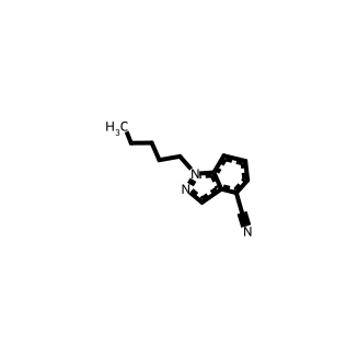 CCCCCn1ncc2c(C#N)cccc21